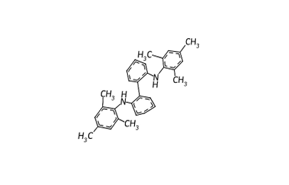 Cc1cc(C)c(Nc2ccccc2-c2ccccc2Nc2c(C)cc(C)cc2C)c(C)c1